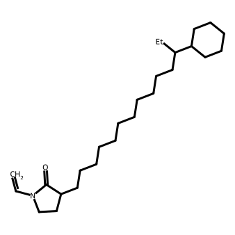 C=CN1CCC(CCCCCCCCCCCC(CC)C2CCCCC2)C1=O